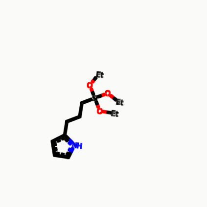 CCO[Si](CCCc1ccc[nH]1)(OCC)OCC